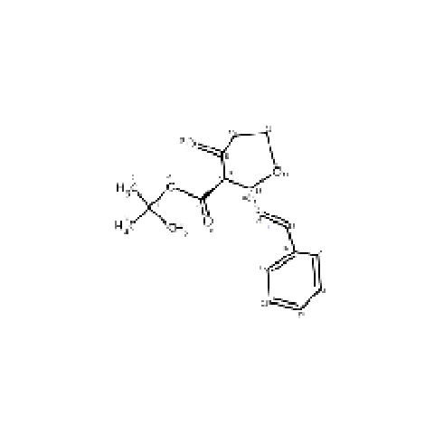 CC(C)(C)OC(=O)[C@H]1C(=O)CCO[C@@H]1/C=C/c1ccccc1